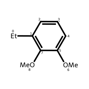 CCc1c[c]cc(OC)c1OC